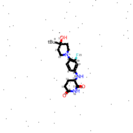 CC(C)(C)C1(O)CCN(c2ccc(NC3CCC(=O)NC3=O)cc2F)CC1